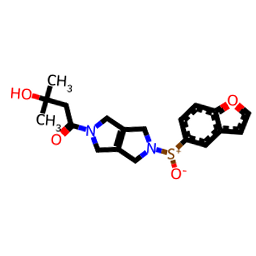 CC(C)(O)CC(=O)N1CC2=C(C1)CN([S+]([O-])c1ccc3occc3c1)C2